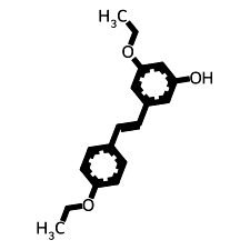 CCOc1ccc(C=Cc2cc(O)cc(OCC)c2)cc1